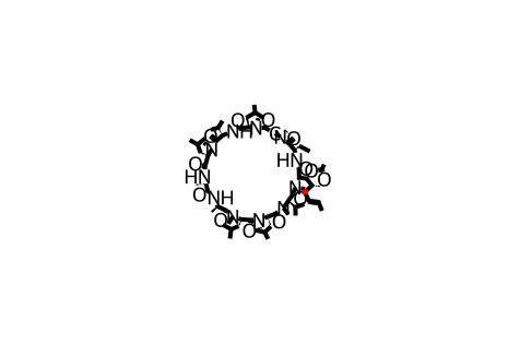 C/C=C/C[C@@H](C)[C@@H](OC(C)=O)[C@H]1C(=O)N[C@@H](CC)C(=O)N(C)CC(=O)N(C)[C@H](CC(C)C)C(=O)N[C@@H](C(C)C)C(=O)N(C)[C@@H](CC(C)C)C(=O)N[C@@H](C)C(=O)N[C@H](C)C(=O)N(C)[C@@H](CC(C)C)C(=O)N(C)[C@@H](CC(C)C)C(=O)N(C)[C@H](C(C)C)C(=O)N1C